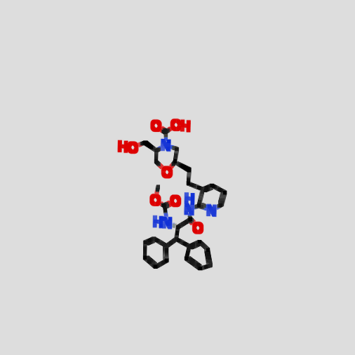 COC(=O)N[C@H](C(=O)Nc1ncccc1CC[C@@H]1CN(C(=O)O)[C@H](CO)CO1)C(c1ccccc1)c1ccccc1